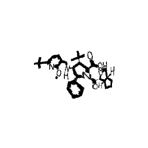 COc1nc(C(C)(C)C)ccc1CN[C@H]1[C@H](C(C)(C)C)[C@@H](C(=O)O)N(C(=O)[C@@H]2OC[C@@H]3CCC[C@@H]32)[C@H]1c1ccccc1